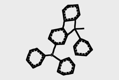 CC1(c2ccccc2)c2ccccc2-c2ccc(N(c3ccccc3)c3ccccc3)cc21